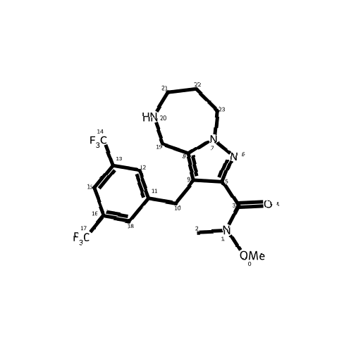 CON(C)C(=O)c1nn2c(c1Cc1cc(C(F)(F)F)cc(C(F)(F)F)c1)CNCCC2